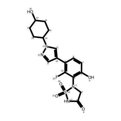 O=C1CN(c2c(O)ccc(-c3cnn(C4CCC(O)CC4)c3)c2F)S(=O)(=O)N1